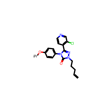 C=CCCCn1nc(-c2ccncc2Cl)n(-c2ccc(OC(C)C)cc2)c1=O